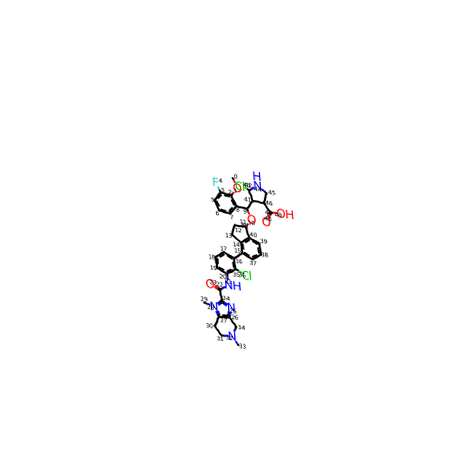 COc1c(F)cccc1C(O[C@@H]1CCc2c(-c3cccc(NC(=O)c4nc5c(n4C)CCN(C)C5)c3Cl)cccc21)C1C(Cl)NCC1C(=O)O